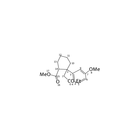 CCOC(=O)CC1(c2cccc(OC)c2)CCCCC1C(=O)OC